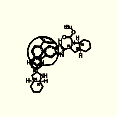 CC(C)(C)OC(=O)N1[C@H](c2nc3cc(-c4cc5ccc4CCCCc4ccc(c(-c6ccc7[nH]c([C@@H]8C[C@@H]9CCCC[C@@H]9N8)nc7c6)c4)CCCC5)ccc3[nH]2)C[C@@H]2CCCC[C@@H]21